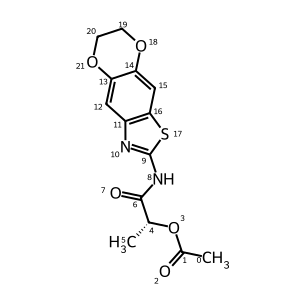 CC(=O)O[C@H](C)C(=O)Nc1nc2cc3c(cc2s1)OCCO3